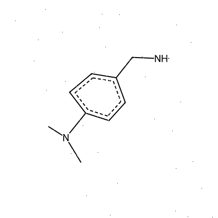 CN(C)c1ccc(C[NH])cc1